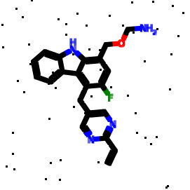 C=Cc1ncc(Cc2c(F)cc(COCN)c3[nH]c4ccccc4c23)cn1